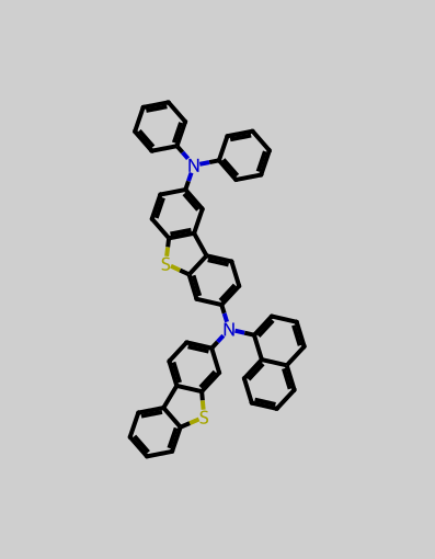 c1ccc(N(c2ccccc2)c2ccc3sc4cc(N(c5ccc6c(c5)sc5ccccc56)c5cccc6ccccc56)ccc4c3c2)cc1